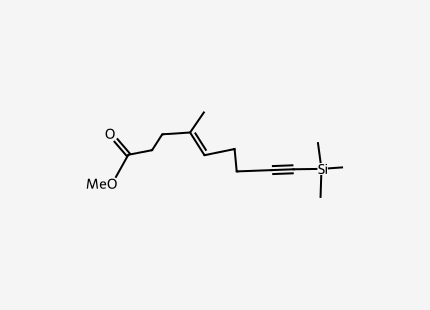 COC(=O)CCC(C)=CCCC#C[Si](C)(C)C